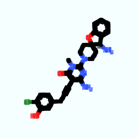 Cn1c(N2CCC3(CC2)Oc2ccccc2[C@H]3N)nc(N)c(C#CCc2ccc(Cl)c(O)c2)c1=O